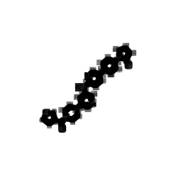 O=C([C@H]1CCOC1)N1CCN(c2cncc(Nc3ccc(-c4ccc(N5CCCC5=O)cc4)cn3)c2)CC1